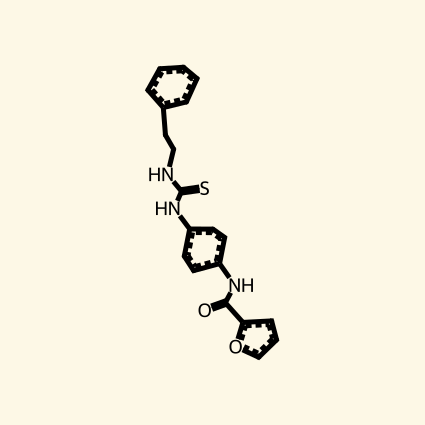 O=C(Nc1ccc(NC(=S)NCCc2ccccc2)cc1)c1ccco1